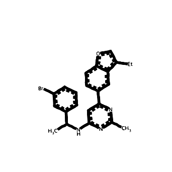 CCc1coc2ccc(-c3cc(NC(C)c4cccc(Br)c4)nc(C)n3)cc12